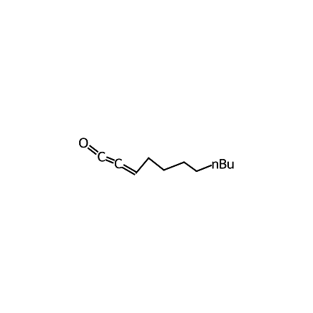 CCCCCCCCC=C=C=O